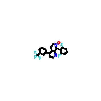 [O-][n+]1ccc2c(-c3cccc(C(F)(F)F)c3)ccnc2c1-c1c(F)cccc1F